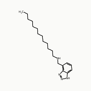 CCCCCCCCCCCCCNCc1cccc2[nH]nnc12